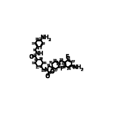 Nc1ccc(CNC(=O)C2CCC(CN3CC4(CCN(Cc5c(F)cc(N)cc5F)CC4)OC3=O)CC2)cc1